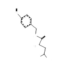 CC(C)C[C@H](N)C(=O)OCc1ccc(N=O)cc1